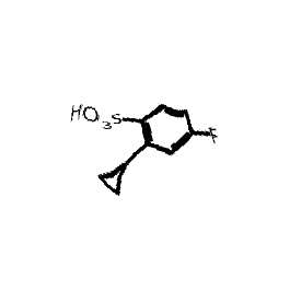 O=S(=O)(O)c1ccc(F)cc1C1CC1